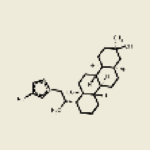 CC(Cn1cc(C#N)cn1)[C@H]1CCC[C@H]2[C@@H]3CC[C@@H]4C[C@](C)(O)CC[C@@H]4[C@H]3CC[C@]12C